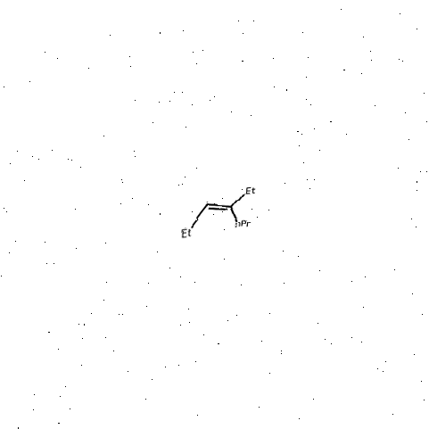 CC/[C]=C(/CC)CCC